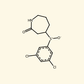 O=C1CC([S+]([O-])c2cc(Cl)cc(Cl)c2)CCCN1